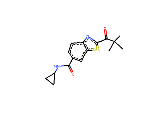 CC(C)(C)C(=O)c1nc2ccc(C(=O)NC3CC3)cc2s1